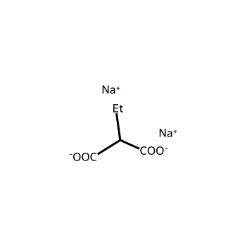 CCC(C(=O)[O-])C(=O)[O-].[Na+].[Na+]